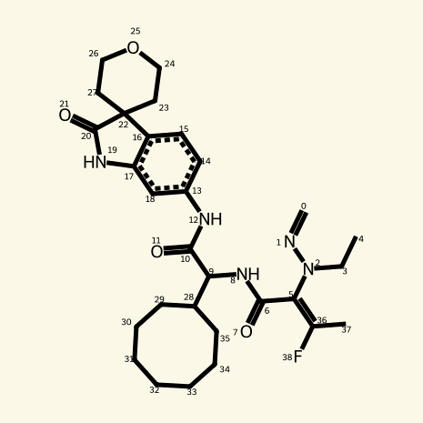 C=NN(CC)/C(C(=O)NC(C(=O)Nc1ccc2c(c1)NC(=O)C21CCOCC1)C1CCCCCCC1)=C(\C)F